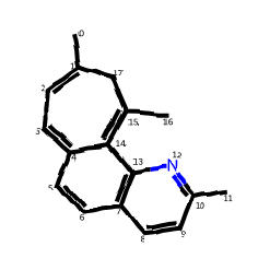 CC1=CC=c2ccc3ccc(C)nc3c2=C(C)C1